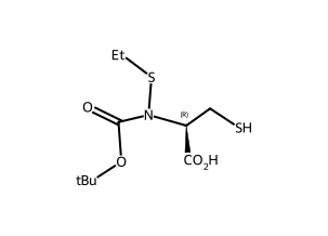 CCSN(C(=O)OC(C)(C)C)[C@@H](CS)C(=O)O